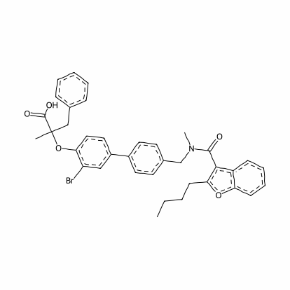 CCCCc1oc2ccccc2c1C(=O)N(C)Cc1ccc(-c2ccc(OC(C)(Cc3ccccc3)C(=O)O)c(Br)c2)cc1